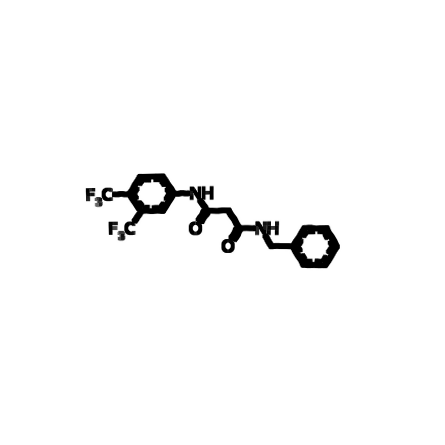 O=C(CC(=O)Nc1ccc(C(F)(F)F)c(C(F)(F)F)c1)NCc1ccccc1